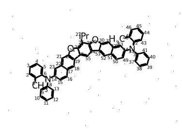 Cc1ccccc1N(c1ccccc1)c1ccc2cc3c(cc2c1)oc1c(C(C)C)c2oc4cc5cc(N(c6ccccc6)c6ccccc6C)ccc5cc4c2cc13